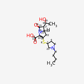 CCCCN1CCC(SC2=C(C(=O)O)N3C(=O)C(C(C)O)[C@H]3C2)C1